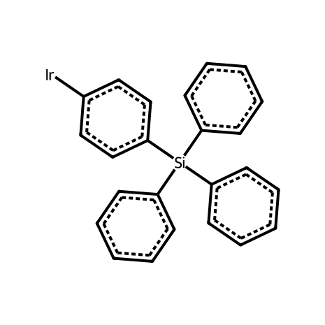 [Ir][c]1ccc([Si](c2ccccc2)(c2ccccc2)c2ccccc2)cc1